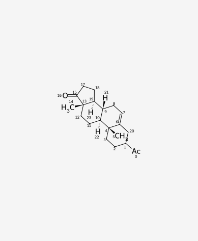 CC(=O)C1CC[C@@]2(C)C(=CC[C@@H]3[C@@H]2CC[C@]2(C)C(=O)CC[C@@H]32)C1